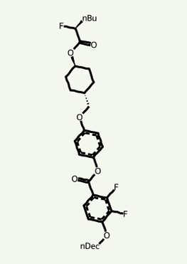 CCCCCCCCCCOc1ccc(C(=O)Oc2ccc(OC[C@H]3CC[C@H](OC(=O)[C@@H](F)CCCC)CC3)cc2)c(F)c1F